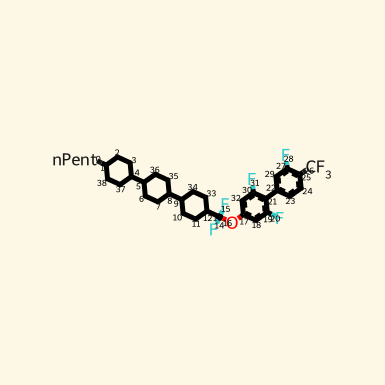 CCCCCC1CCC(C2CCC(C3CCC(C(F)(F)Oc4cc(F)c(-c5ccc(C(F)(F)F)c(F)c5)c(F)c4)CC3)CC2)CC1